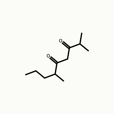 CCCC(C)C(=O)CC(=O)C(C)C